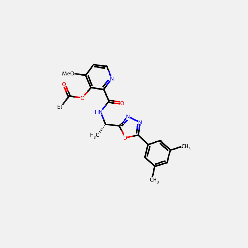 CCC(=O)Oc1c(OC)ccnc1C(=O)N[C@@H](C)c1nnc(-c2cc(C)cc(C)c2)o1